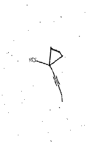 CC#CC1(O)CC1